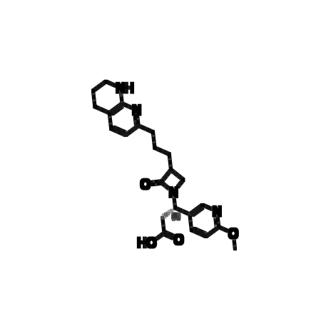 COc1ccc([C@H](CC(=O)O)N2CC(CCCc3ccc4c(n3)NCCC4)C2=O)cn1